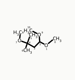 COC(CC(C)(C)OC)OC